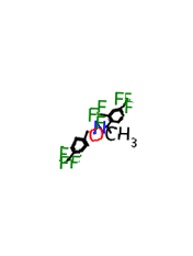 C/C(=N\OCc1ccc(C(F)(F)F)cc1)c1ccc(C(F)(F)F)cc1C(F)(F)F